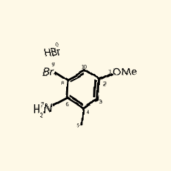 Br.COc1cc(C)c(N)c(Br)c1